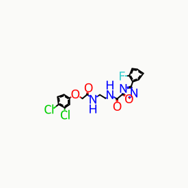 O=C(COc1ccc(Cl)c(Cl)c1)NCCNC(=O)c1nc(-c2ccccc2F)no1